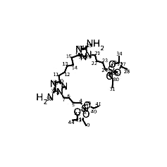 CCO[Si](CCCCn1nc(CCCCCc2nc(N)n(CCCC[Si](OCC)(OCC)OCC)n2)nc1N)(OCC)OCC